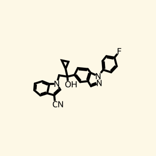 N#Cc1cn(CC(O)(c2ccc3c(cnn3-c3ccc(F)cc3)c2)C2CC2)c2ccccc12